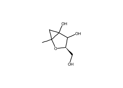 CC12CC1(O)C(O)[C@@H](CO)O2